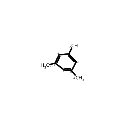 [CH]c1[c]c(C)cc(C)c1